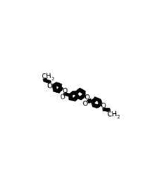 C=CCOc1ccc(OC(=O)c2ccc3cc(OC(=O)c4ccc(OCC=C)cc4)ccc3c2)cc1